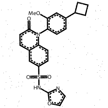 COc1cc(C2CCC2)ccc1-n1c(=O)ccc2cc(S(=O)(=O)Nc3ncco3)ccc21